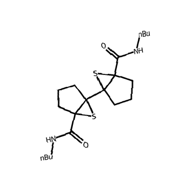 CCCCNC(=O)C12CCCC1(C13CCCC1(C(=O)NCCCC)S3)S2